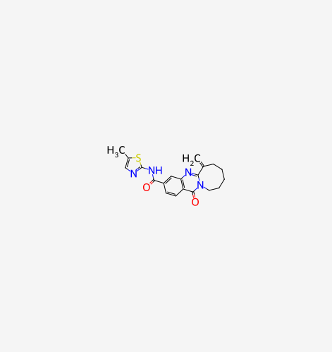 C=C1CCCCCn2c1nc1cc(C(=O)Nc3ncc(C)s3)ccc1c2=O